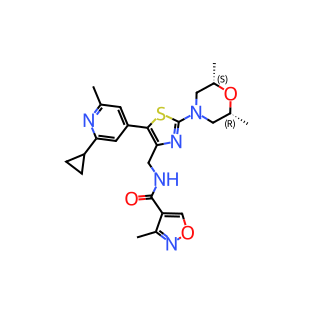 Cc1cc(-c2sc(N3C[C@@H](C)O[C@@H](C)C3)nc2CNC(=O)c2conc2C)cc(C2CC2)n1